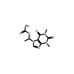 CC(OC(=O)C(C)(C)C)n1cnc2c1c(=O)n(C)c(=O)n2C